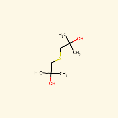 CC(C)(O)CSCC(C)(C)O